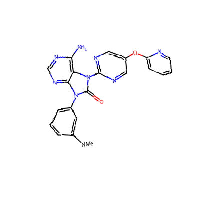 CNc1cccc(-n2c(=O)n(-c3ncc(Oc4ccccn4)cn3)c3c(N)ncnc32)c1